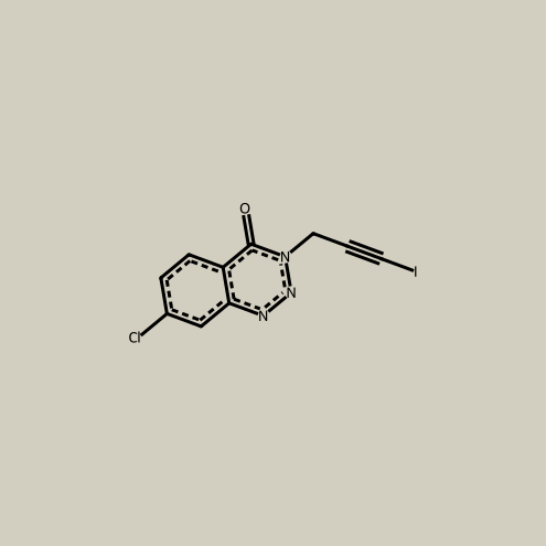 O=c1c2ccc(Cl)cc2nnn1CC#CI